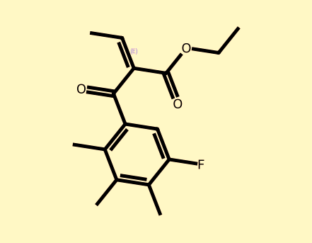 C/C=C(/C(=O)OCC)C(=O)c1cc(F)c(C)c(C)c1C